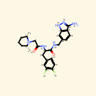 C[C@@H]1CCC[C@H](C)N1CC(=O)NC(Cc1ccc(F)c(F)c1)C(=O)NCc1ccc2c(N)n[nH]c2c1